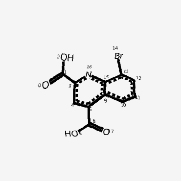 O=C(O)c1cc(C(=O)O)c2cccc(Br)c2n1